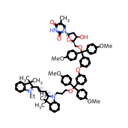 CC[N+]1=C(/C=C/C=C2/N(CCCOC(c3ccc(OC)cc3)(c3ccc(OC)cc3)c3cccc(Oc4cccc(C(OC[C@H]5O[C@@H](n6cc(C)c(=O)[nH]c6=O)CC5O)(c5ccc(OC)cc5)c5ccc(OC)cc5)c4)c3)c3ccccc3C2(C)C)C(C)(C)c2ccccc21